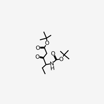 CCC(NC(=O)OC(C)(C)C)C(=O)CC(=O)OC(C)(C)C